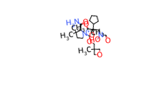 CC1(COC(=O)[N+]2(C(=O)[C@@](C)(CN(O)C=O)C3CCCC3)CCC(C)(C)[C@H]2C(N)=O)COC1